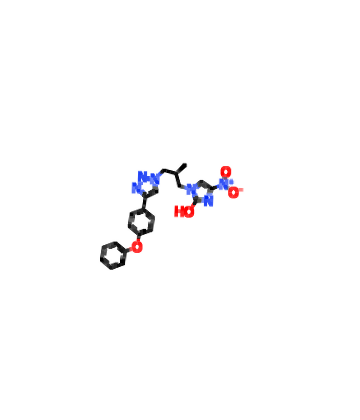 C[C@H](Cn1cc(-c2ccc(Oc3ccccc3)cc2)nn1)Cn1cc([N+](=O)[O-])nc1O